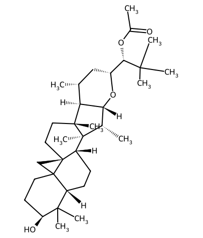 CC(=O)O[C@@H]([C@H]1C[C@@H](C)[C@H]2[C@H](O1)[C@H](C)[C@@]1(C)[C@@H]3CC[C@@H]4C(C)(C)[C@@H](O)CCC45C[C@@]35CC[C@]21C)C(C)(C)C